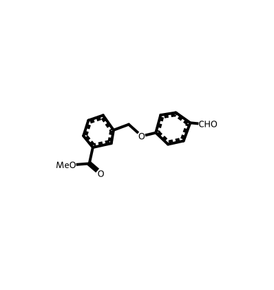 COC(=O)c1cccc(COc2ccc(C=O)cc2)c1